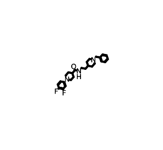 O=C(NCCC1CCN(Cc2ccccc2)CC1)C1CCN(c2ccc(F)c(F)c2)CC1